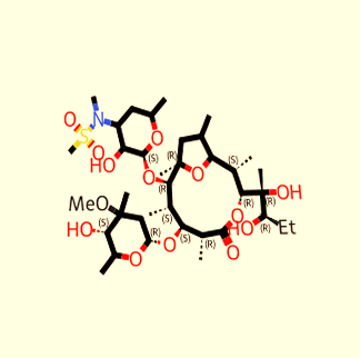 CC[C@@H](O)[C@@](C)(O)[C@@H]1OC(=O)[C@H](C)[C@@H](O[C@H]2CC(C)(OC)[C@@H](O)C(C)O2)[C@H](C)[C@@H](O[C@@H]2OC(C)CC(N(C)S(C)(=O)=O)C2O)[C@@]2(C)CC(C)C(O2)[C@@H]1C